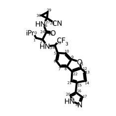 CC(C)CC(NC(c1ccc2c(c1)oc1ccc(-c3cn[nH]c3)cc12)C(F)(F)F)C(=O)NC1(C#N)CC1